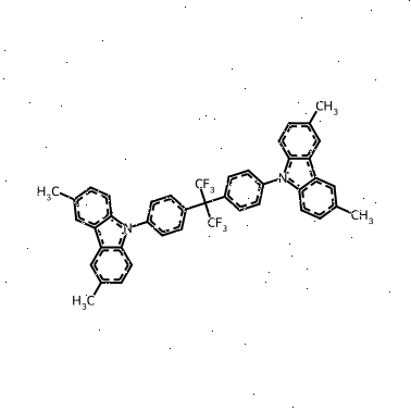 Cc1ccc2c(c1)c1cc(C)ccc1n2-c1ccc(C(c2ccc(-n3c4ccc(C)cc4c4cc(C)ccc43)cc2)(C(F)(F)F)C(F)(F)F)cc1